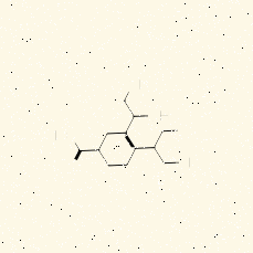 CCC(O)C1=C(C(CC)CC)CCC(C(C)=O)C1